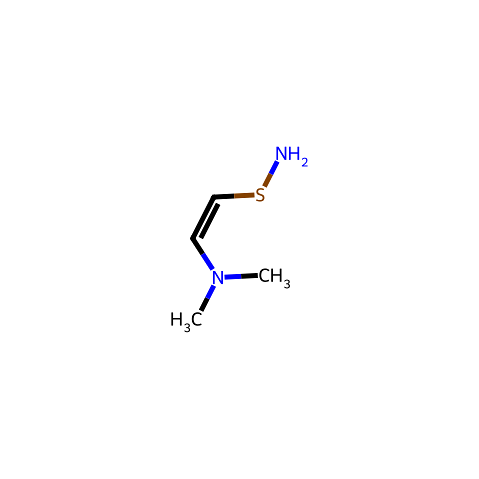 CN(C)/C=C\SN